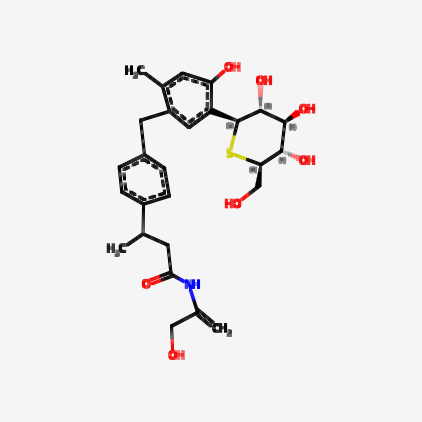 C=C(CO)NC(=O)CC(C)c1ccc(Cc2cc([C@@H]3S[C@H](CO)[C@@H](O)[C@H](O)[C@H]3O)c(O)cc2C)cc1